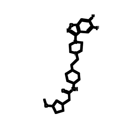 COC1CCC(CC(=O)NC2CCC(CCN3CCN(c4noc5cc(F)c(F)cc45)CC3)CC2)C1